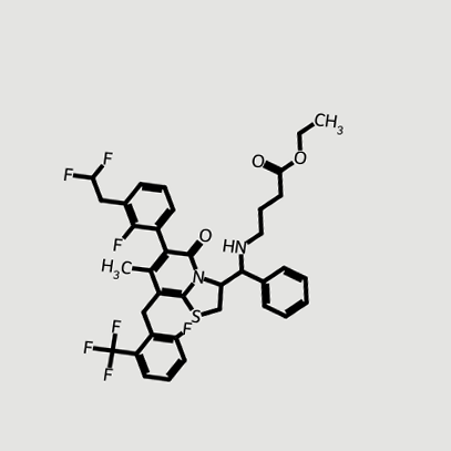 CCOC(=O)CCCNC(c1ccccc1)C1CSc2c(Cc3c(F)cccc3C(F)(F)F)c(C)c(-c3cccc(CC(F)F)c3F)c(=O)n21